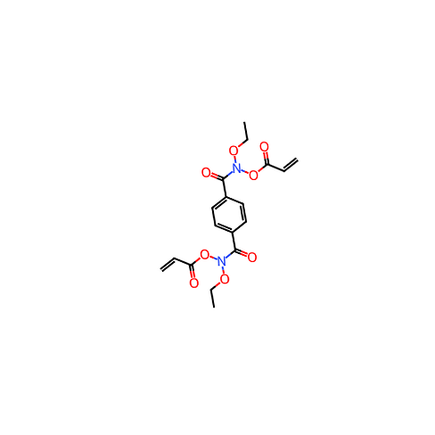 C=CC(=O)ON(OCC)C(=O)c1ccc(C(=O)N(OCC)OC(=O)C=C)cc1